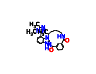 Cc1nnc(-c2cccc3c2N2/C(=N/C(=O)c4cccc(c4)C(=O)NCCCC[C@@H]2C)N3)n1C